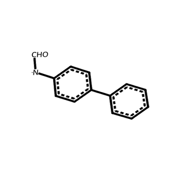 O=C[N]c1ccc(-c2ccccc2)cc1